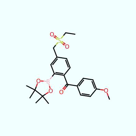 CCS(=O)(=O)Cc1ccc(C(=O)c2ccc(OC)cc2)c(B2OC(C)(C)C(C)(C)O2)c1